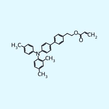 C=CC(=O)OCCc1ccc(-c2ccc(N(c3ccc(C)cc3)c3ccc(C)cc3C)cc2)cc1